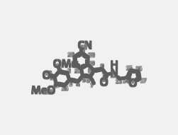 COC1=CC(=CC2=C(C)/C(=C\C(=O)NCc3ccco3)c3cc(C#N)ccc32)C=C(OC)C1=O